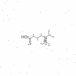 CC(C)[SiH](CCCC(O)=S)C(C)C